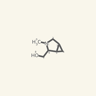 CN1CC2CC2C1CO